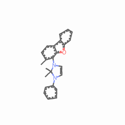 Cc1ccc2c(oc3ccccc32)c1N1C=CN(c2ccccc2)C1(C)C